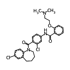 CN(C)CCOc1ccccc1C(=O)Nc1ccc(C(=O)N2CCCCc3cc(Cl)ccc32)c(Cl)c1